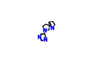 c1ncc(N2CCC3(C2)C2CCN3CC2)cn1